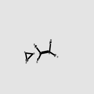 C1CO1.FC(F)=C(F)F